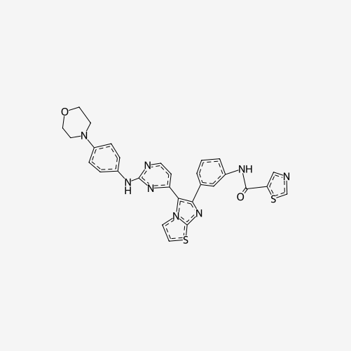 O=C(Nc1cccc(-c2nc3sccn3c2-c2ccnc(Nc3ccc(N4CCOCC4)cc3)n2)c1)c1cncs1